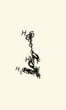 COC(=O)COCCCOCCCCCOc1ccc(F)c(CNc2cccc(NC3(c4nnc(-c5ccncc5)[nH]4)CCN(C)CC3)c2)c1